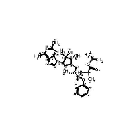 CC(C)OC(=O)[C@H](C)N[P@](=O)(OC[C@H]1[C@H](C)[C@@H](n2cnc3c(N)nc(N)nc32)[C@](C)(O)[C@@H]1O)Oc1ccccc1